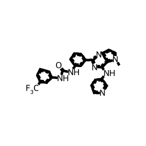 Cn1ccc2nc(-c3cccc(NC(=O)Nc4cccc(C(F)(F)F)c4)c3)nc(Nc3cccnc3)c21